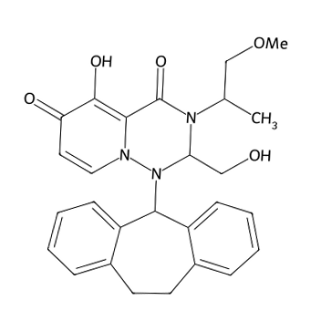 COCC(C)N1C(=O)c2c(O)c(=O)ccn2N(C2c3ccccc3CCc3ccccc32)C1CO